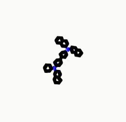 c1ccc(N(c2ccc(-c3ccc(N(c4ccc5ccccc5c4)c4ccc5ccccc5c4)cc3)cc2)c2ccc3ccccc3c2)cc1